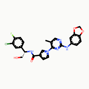 Cc1cnc(Nc2ccc3c(c2)OCO3)nc1-n1ccc(C(=O)N[C@H](CO)c2ccc(F)c(Cl)c2)c1